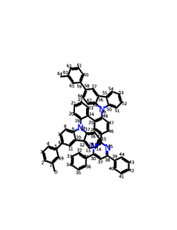 Cc1cccc(-c2ccc3c(c2)c2ccccc2n3-c2ccccc2-c2cc(-c3nc(-c4ccccc4)cc(-c4ccccc4)n3)ccc2-n2c3ccccc3c3cc(-c4cccc(C)c4)ccc32)c1